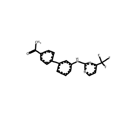 CC(=O)c1ccc(-c2cccc(Nc3nccc(C(F)(F)F)n3)c2)cc1